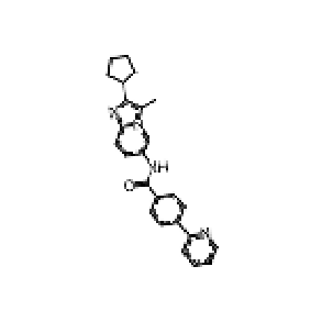 Cc1c(C2CCCC2)nc2ccc(NC(=O)c3ccc(-c4ccccn4)cc3)cn12